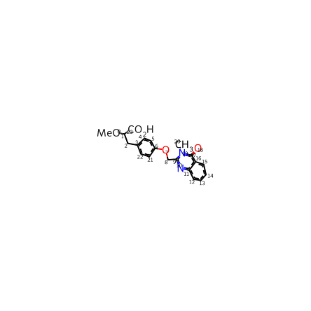 COC(Cc1ccc(OCc2nc3ccccc3c(=O)n2C)cc1)C(=O)O